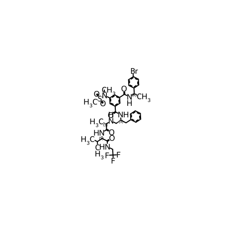 CC(C)[C@H](NC(=O)[C@H](C)NC[C@H](Cc1ccccc1)NC(=O)c1cc(C(=O)N[C@H](C)c2ccc(Br)cc2)cc(N(C)S(C)(=O)=O)c1)C(=O)NCC(F)(F)F